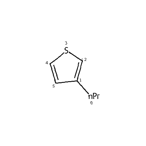 CCCc1[c]scc1